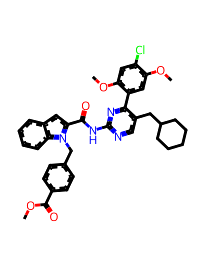 COC(=O)c1ccc(Cn2c(C(=O)Nc3ncc(CC4CCCCC4)c(-c4cc(OC)c(Cl)cc4OC)n3)cc3ccccc32)cc1